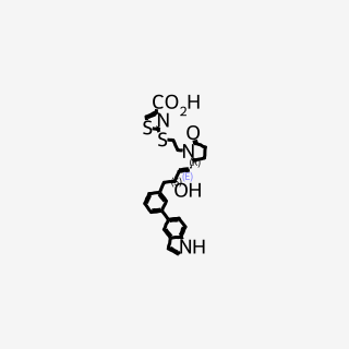 O=C(O)c1csc(SCCN2C(=O)CC[C@@H]2/C=C/[C@@H](O)Cc2cccc(-c3ccc4[nH]ccc4c3)c2)n1